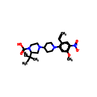 C=Cc1cc([N+](=O)[O-])c(OC)cc1N1CCC(N2CCN(C(=O)O)C(C(C)(C)C)C2)CC1